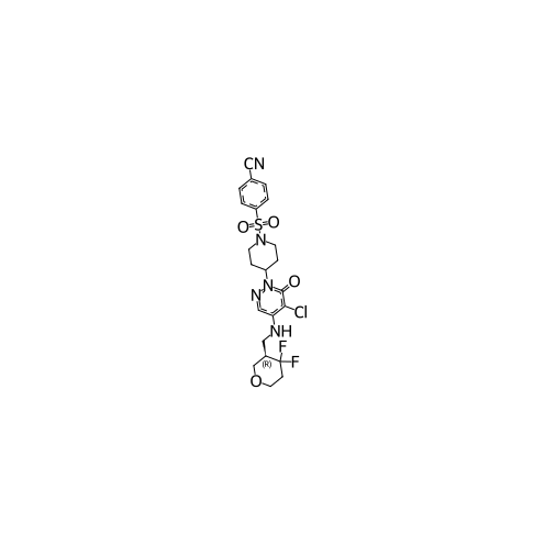 N#Cc1ccc(S(=O)(=O)N2CCC(n3ncc(NC[C@@H]4COCCC4(F)F)c(Cl)c3=O)CC2)cc1